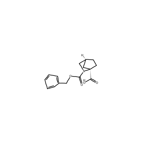 O=C(OCc1ccccc1)N1C[C@H]2CC[C@]1(C(=O)O)C2